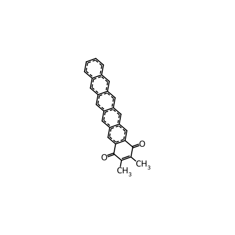 CC1=C(C)C(=O)c2cc3cc4cc5cc6ccccc6cc5cc4cc3cc2C1=O